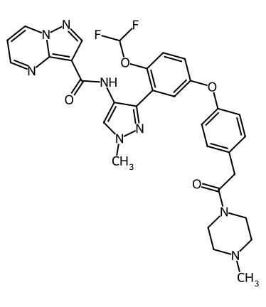 CN1CCN(C(=O)Cc2ccc(Oc3ccc(OC(F)F)c(-c4nn(C)cc4NC(=O)c4cnn5cccnc45)c3)cc2)CC1